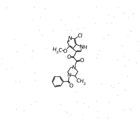 COc1cnc(Cl)c2[nH]cc(C(=O)C(=O)N3CCN(C(=O)c4ccccc4)C(C)C3)c12